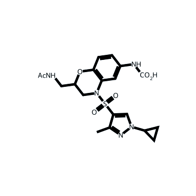 CC(=O)NCC1CN(S(=O)(=O)c2cn(C3CC3)nc2C)c2cc(NC(=O)O)ccc2O1